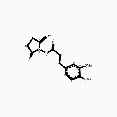 COc1ccc(CCC(=O)ON2C(=O)CCC2=O)cc1OC